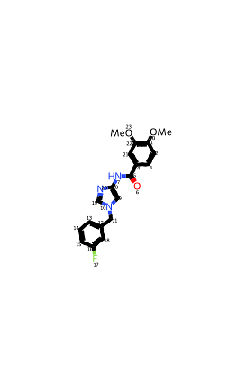 COc1ccc(C(=O)Nc2cn(Cc3cccc(F)c3)cn2)cc1OC